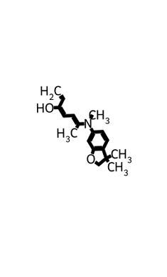 C=C/C(O)=C\C=C(/C)N(C)c1ccc2c(c1)OCC2(C)C